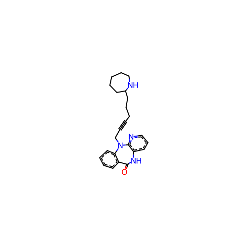 O=C1Nc2cccnc2N(CC#CCCCC2CCCCCN2)c2ccccc21